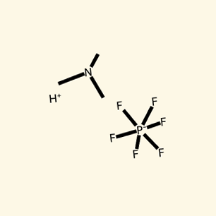 CN(C)C.F[P-](F)(F)(F)(F)F.[H+]